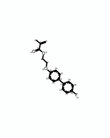 C=C(C)C(=O)OCCOc1ccc(-c2ccc(F)cc2)cc1